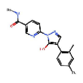 CC[C@H](C)NC(=O)c1ccc(-n2ncc(-c3ccc(C#N)cc3C)c2O)nc1